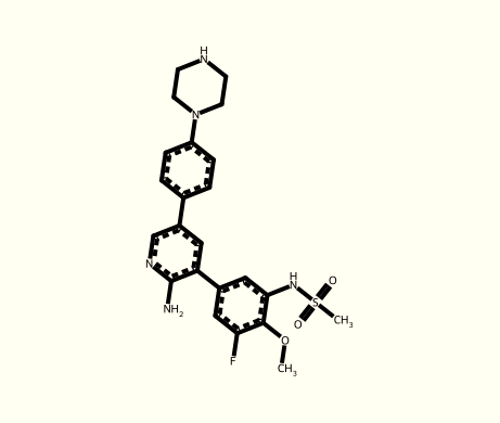 COc1c(F)cc(-c2cc(-c3ccc(N4CCNCC4)cc3)cnc2N)cc1NS(C)(=O)=O